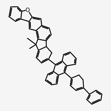 CC1(C)C2=CC=C(c3c4ccccc4c(C4=CC=C(c5ccccc5)CC4)c4ccccc34)CC2c2ccc3cc4oc5ccccc5c4cc3c21